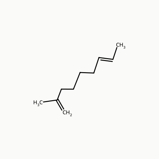 C=C(C)CCCC/C=C/C